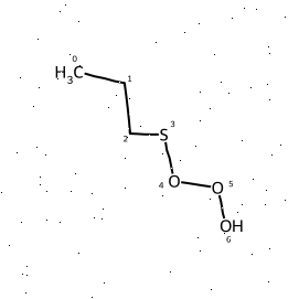 CCCSOOO